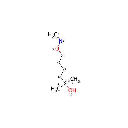 C=NOCCCCC(C)(C)O